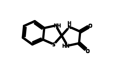 O=C1NC2(NC1=O)Nc1ccccc1S2